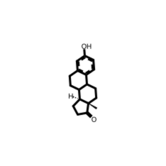 C[C@]12CCC3c4ccc(O)cc4CCC3[C@@H]1CCC2=O